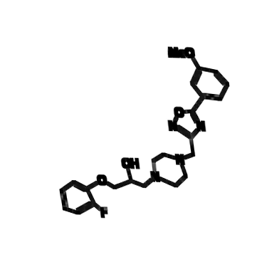 COc1cccc(-c2nc(CN3CCN(CC(O)COc4ccccc4F)CC3)no2)c1